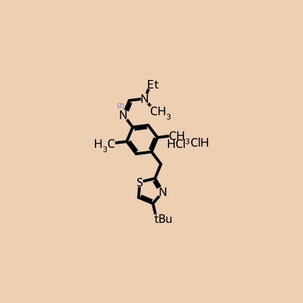 CCN(C)/C=N\c1cc(C)c(Cc2nc(C(C)(C)C)cs2)cc1C.Cl.Cl